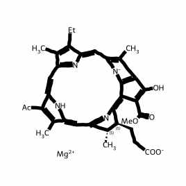 CCC1=C(C)c2cc3[nH]c(cc4nc(c5c6[n-]c(cc1n2)c(C)c6C(O)=C5C(=O)OC)[C@@H](CCC(=O)[O-])[C@@H]4C)c(C)c3C(C)=O.[Mg+2]